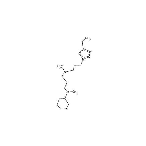 CN(CCCN(C)C1CCCCC1)CCCn1cc(CN)nn1